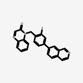 O=c1cnc2ccccc2n1Cc1ccc(-c2ccc3ccncc3c2)cc1F